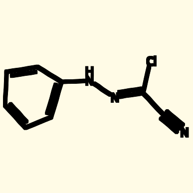 N#CC(Cl)=NNc1ccccc1